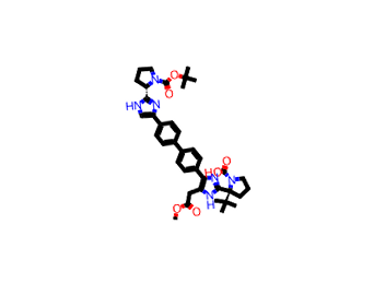 COC(=O)Cc1[nH]c([C@@]2(C(C)(C)C)CCCN2C(=O)O)nc1-c1ccc(-c2ccc(-c3c[nH]c([C@@H]4CCCN4C(=O)OC(C)(C)C)n3)cc2)cc1